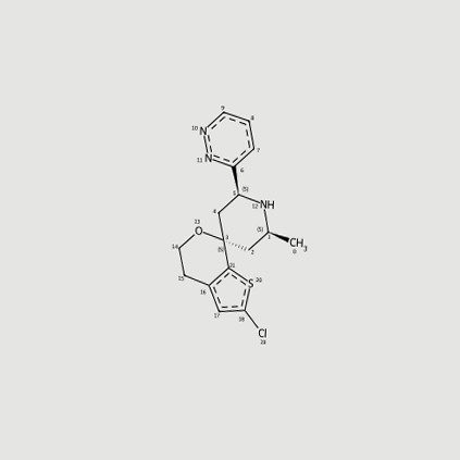 C[C@H]1C[C@@]2(C[C@@H](c3cccnn3)N1)OCCc1cc(Cl)sc12